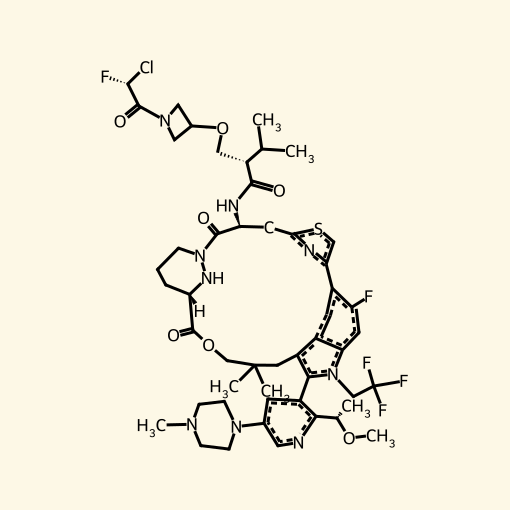 CO[C@@H](C)c1ncc(N2CCN(C)CC2)cc1-c1c2c3cc(c(F)cc3n1CC(F)(F)F)-c1csc(n1)C[C@H](NC(=O)[C@H](COC1CN(C(=O)[C@H](F)Cl)C1)C(C)C)C(=O)N1CCC[C@H](N1)C(=O)OCC(C)(C)C2